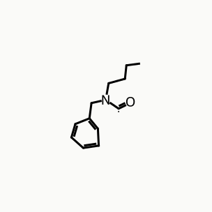 CCCCN([C]=O)Cc1ccccc1